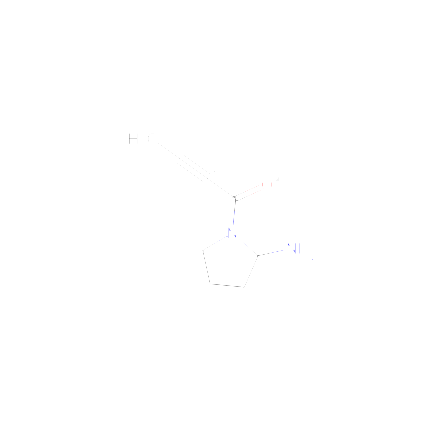 CC#CC(=O)N1CCCC1N